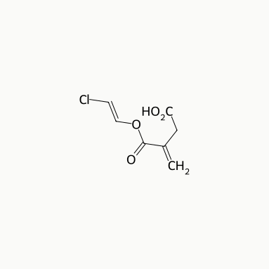 C=C(CC(=O)O)C(=O)OC=CCl